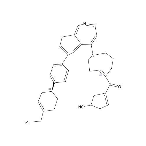 CC(C)CC1=CC[C@@H](c2ccc(C3=CCC4=CN=CC=C(N5CC/C=C(\C(=O)C6=CCC(C#N)C6)CCC5)C4=C3)cc2)CC1